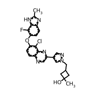 Cc1nc2ccc(Oc3ccc4ncc(-c5cnn(CC6CC(C)(O)C6)c5)nc4c3Cl)c(F)c2[nH]1